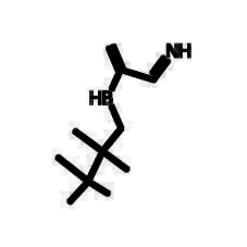 C=C(BCC(C)(C)C(C)(C)C)C=N